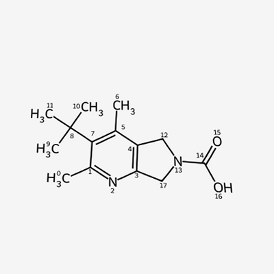 Cc1nc2c(c(C)c1C(C)(C)C)CN(C(=O)O)C2